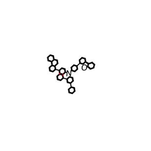 c1ccc(-c2ccc(N(c3ccc(-c4cccc5c4ccc4ccccc45)cc3)c3ccc(-c4cccc5c4oc4ccccc45)cc3)c(-c3ccccc3)c2)cc1